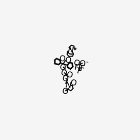 O=C(OCCN1C(=O)CCC1=O)OCOC(C(=O)OC1CC2CCC(C1)[N+]21CCCC1)(c1ccccc1)c1ccccc1.O=C([O-])C(F)(F)F